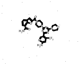 NC(=O)c1cccc2cc(C(=O)N3CCN(c4nc(-c5cnc(N)cc5C(F)(F)F)nc(N5CCOCC5)n4)CC3)oc12